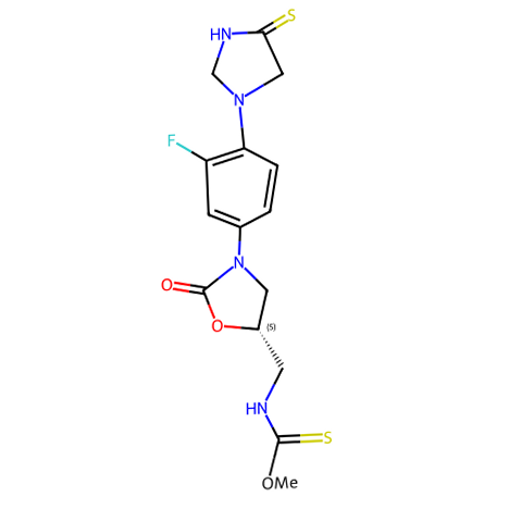 COC(=S)NC[C@H]1CN(c2ccc(N3CNC(=S)C3)c(F)c2)C(=O)O1